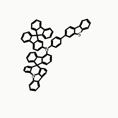 c1ccc2c(c1)-c1ccccc1C21c2ccccc2-c2ccc(N(c3ccc(-c4ccc5c(c4)sc4ccccc45)cc3)c3cccc4c3-c3ccccc3C43c4ccccc4-n4c5ccccc5c5cccc3c54)cc21